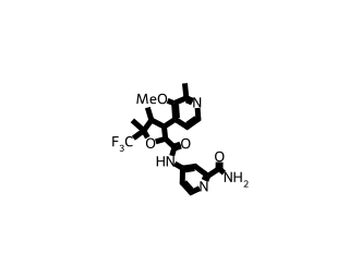 COc1c(C2C(C(=O)Nc3ccnc(C(N)=O)c3)OC(C)(C(F)(F)F)C2C)ccnc1C